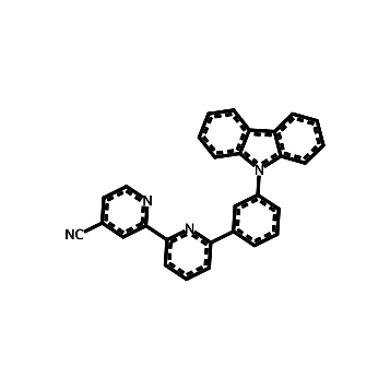 N#Cc1ccnc(-c2cccc(-c3cccc(-n4c5ccccc5c5ccccc54)c3)n2)c1